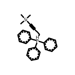 C[Si](C)(C)C#CC[PH](c1ccccc1)(c1ccccc1)c1ccccc1